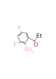 Bc1c(F)cc(F)cc1C(=O)CC